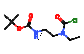 CCN(CCNC(=O)OC(C)(C)C)C(=O)Cl